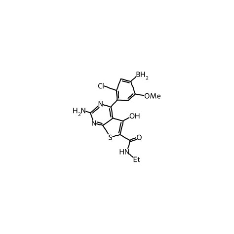 Bc1cc(Cl)c(-c2nc(N)nc3sc(C(=O)NCC)c(O)c23)cc1OC